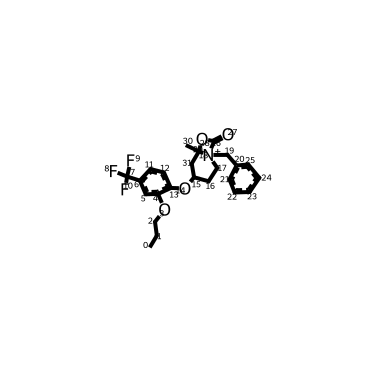 CCCOc1cc(C(F)(F)F)ccc1OC1CC[N+]2(Cc3ccccc3)C(=O)OC2(C)C1